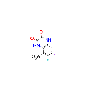 O=c1[nH]c2cc(I)c(F)c([N+](=O)[O-])c2[nH]c1=O